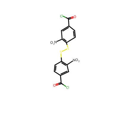 O=C(Cl)c1ccc(SSc2ccc(C(=O)Cl)cc2[N+](=O)[O-])c([N+](=O)[O-])c1